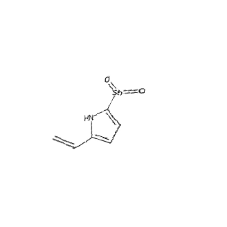 C=Cc1cc[c]([Sb](=[O])=[O])[nH]1